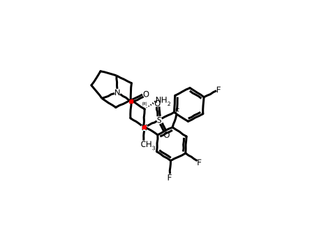 CN(CC(=O)N1C2CCC1CC([C@H](N)Cc1cc(F)c(F)cc1F)C2)S(=O)(=O)c1ccc(F)cc1